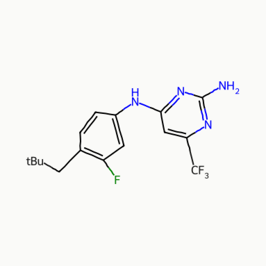 CC(C)(C)Cc1ccc(Nc2cc(C(F)(F)F)nc(N)n2)cc1F